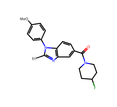 CCc1nc2cc(C(=O)N3CCC(F)CC3)ccc2n1-c1ccc(OC)cc1